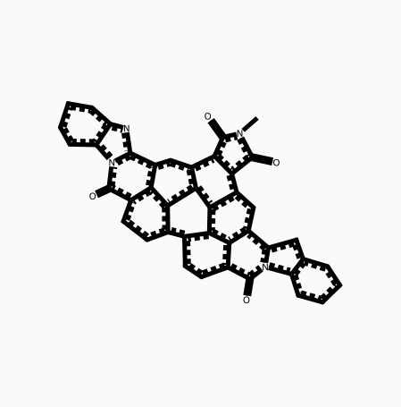 Cn1c(=O)c2c3cc4c5c(ccc6c7ccc8c(=O)n9c%10ccccc%10nc9c9cc(c2c1=O)c(c7c89)c3c65)c(=O)n1c2ccccc2cc41